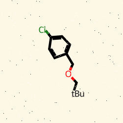 CC(C)(C)COCc1ccc(Cl)cc1